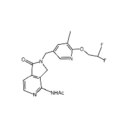 CC(=O)Nc1nccc2c1CN(Cc1cnc(OCC(F)F)c(C)c1)C2=O